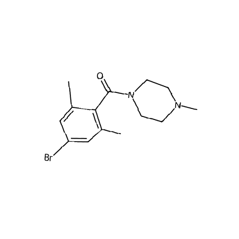 Cc1cc(Br)cc(C)c1C(=O)N1CCN(C)CC1